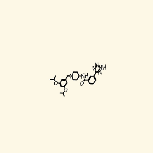 CC(C)Oc1cc(CN2CCC(NC(=O)c3cccc(-c4nn[nH]n4)c3)CC2)cc(OC(C)C)c1